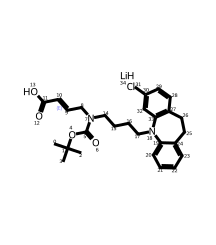 CC(C)(C)OC(=O)N(C/C=C/C(=O)O)CCCCN1c2ccccc2CCc2ccc(Cl)cc21.[LiH]